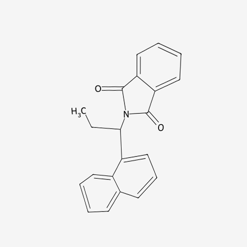 CCC(c1cccc2ccccc12)N1C(=O)c2ccccc2C1=O